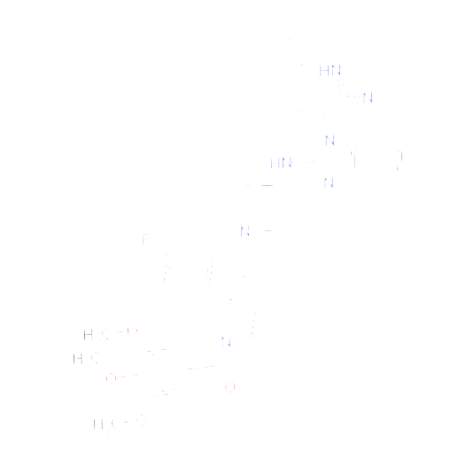 COc1cc(C(=O)N2CCC(CCN3CCC(Nc4nc5ccccc5n4C(Cc4ccccc4)c4ncc[nH]4)CC3)(c3ccc(F)cc3)C2)cc(OC)c1OC